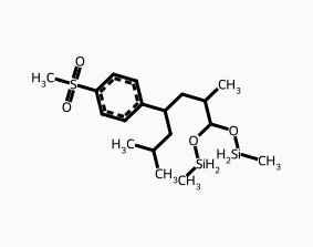 C[SiH2]OC(O[SiH2]C)C(C)CC(CC(C)C)c1ccc(S(C)(=O)=O)cc1